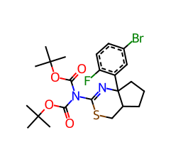 CC(C)(C)OC(=O)N(C(=O)OC(C)(C)C)C1=NC2(c3cc(Br)ccc3F)CCCC2CS1